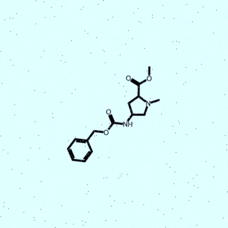 COC(=O)C1CC(NC(=O)OCc2ccccc2)CN1C